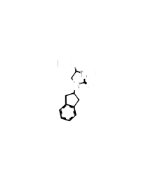 CC1CN(C2Cc3ccccc3C2)C(=O)N1